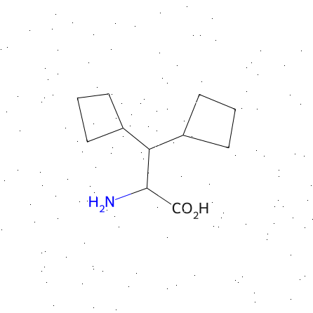 NC(C(=O)O)C(C1CCC1)C1CCC1